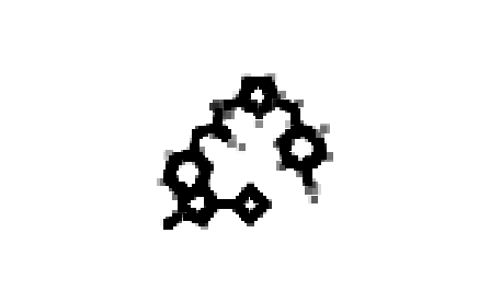 Cn1cc(C2CCC2)c2cc(CC(=O)Nc3ccn(Cc4ccc(C#N)cn4)n3)ccc21